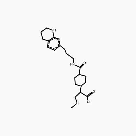 COCC(C(=O)O)N1CCC(C(=O)NCCCc2ccc3c(n2)NCCC3)CC1